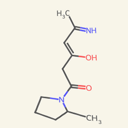 CC(=N)/C=C(\O)CC(=O)N1CCCC1C